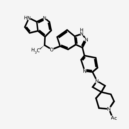 CC(=O)N1CCC2(CC1)CN(c1ccc(-c3n[nH]c4ccc(O[C@H](C)c5ccnc6[nH]ccc56)cc34)cn1)C2